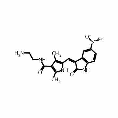 CC[S+]([O-])c1ccc2c(c1)/C(=C/c1[nH]c(C)c(C(=O)NCCN)c1C)C(=O)N2